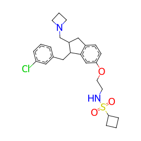 O=S(=O)(NCCOc1ccc2c(c1)C(Cc1cccc(Cl)c1)C(CN1CCC1)C2)C1CCC1